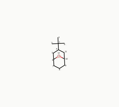 CC(C)(C)C1CC2CCCC(C1)O2